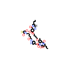 C/C=C/C1=CN2C(=O)c3cc(OC)c(OCCCCCOc4cc5c(cc4C)C(=O)N4C=C(/C=C/C)C[C@H]4[C@H](O)N5C(=O)OCc4ccc(NCC(=O)CCCCCN5C(=O)CC(SC)C5=O)cc4)cc3N=C[C@@H]2C1